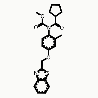 COC(=O)N(C(=O)C1CCCC1)c1ccc(OCc2nc3ccccc3s2)cc1C